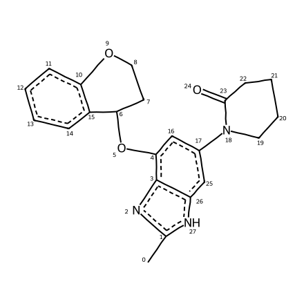 Cc1nc2c(OC3CCOc4ccccc43)cc(N3CCCCC3=O)cc2[nH]1